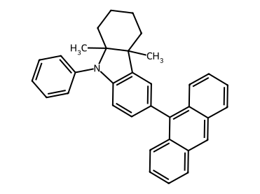 CC12CCCCC1(C)N(c1ccccc1)c1ccc(-c3c4ccccc4cc4ccccc34)cc12